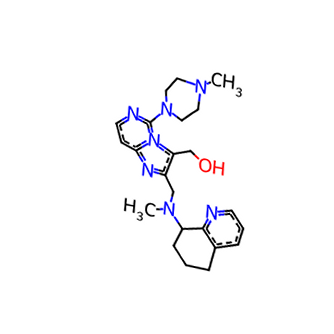 CN1CCN(c2nccc3nc(CN(C)C4CCCc5cccnc54)c(CO)n23)CC1